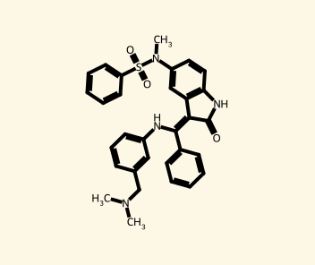 CN(C)Cc1cccc(NC(=C2C(=O)Nc3ccc(N(C)S(=O)(=O)c4ccccc4)cc32)c2ccccc2)c1